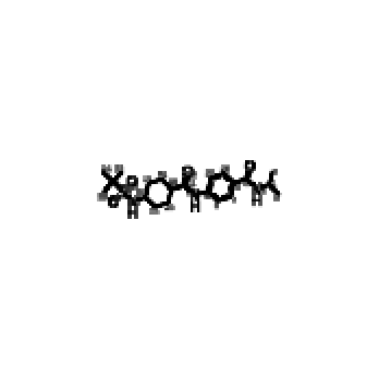 CC(C)NC(=O)c1ccc(NC(=O)C2CCC(NS(=O)(=O)C(C)(C)C)CC2)cc1